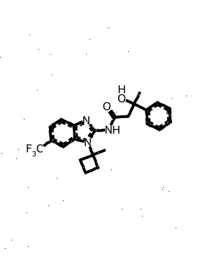 CC(O)(CC(=O)Nc1nc2ccc(C(F)(F)F)cc2n1C1(C)CCC1)c1ccccc1